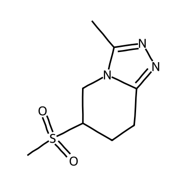 Cc1nnc2n1CC(S(C)(=O)=O)CC2